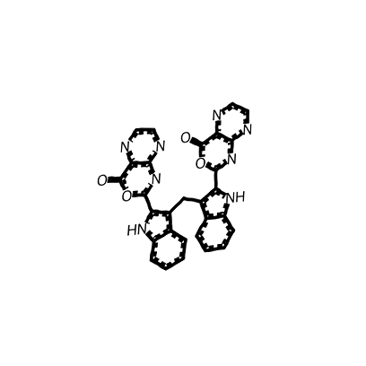 O=c1oc(-c2[nH]c3ccccc3c2Cc2c(-c3nc4nccnc4c(=O)o3)[nH]c3ccccc23)nc2nccnc12